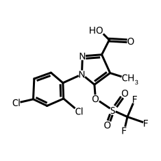 Cc1c(C(=O)O)nn(-c2ccc(Cl)cc2Cl)c1OS(=O)(=O)C(F)(F)F